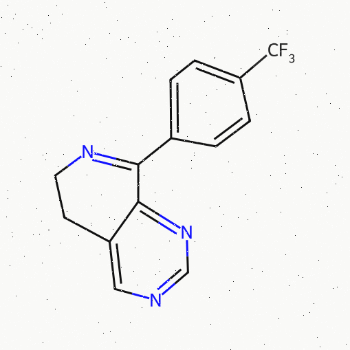 FC(F)(F)c1ccc(C2=NCCc3cncnc32)cc1